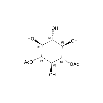 CC(=O)O[C@@H]1[C@@H](O)[C@H](OC(C)=O)[C@@H](O)[C@H](O)[C@H]1O